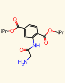 CC(C)OC(=O)c1ccc(C(=O)OC(C)C)c(NC(=O)CN)c1